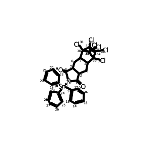 O=C1C2CC3C(CC2C(=O)[N]1[Sn]([c]1ccccc1)([c]1ccccc1)[c]1ccccc1)C1(Cl)C(Cl)=C(Cl)C3(Cl)C1(Cl)Cl